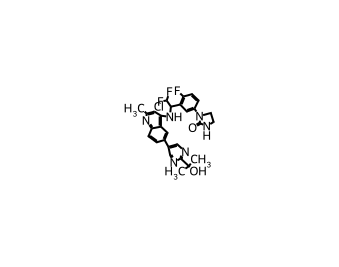 Cc1nc2ccc(-c3cnc(C(C)(C)O)nc3)cc2c(NC(c2cc(N3CCNC3=O)ccc2F)C(F)F)c1Cl